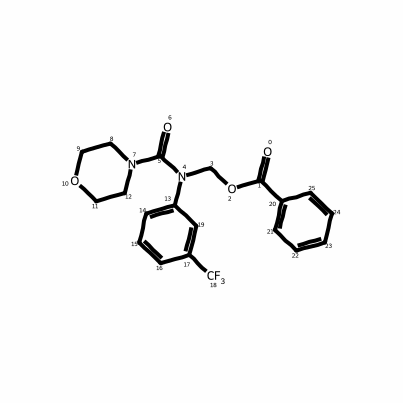 O=C(OCN(C(=O)N1CCOCC1)c1cccc(C(F)(F)F)c1)c1ccccc1